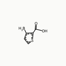 Bc1ccsc1C(=O)O